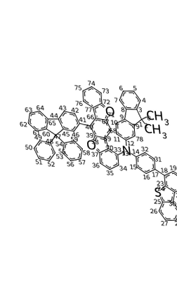 CC1(C)c2ccccc2-c2ccc(N(c3ccc(-c4cccc5c4sc4ccccc45)cc3)c3cccc4oc5c(-c6ccc7c(c6)C(c6ccccc6)(c6ccccc6)c6ccccc6-7)c6c(cc5c34)oc3ccccc36)cc21